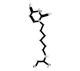 CC(C)CC(SCCCCCCn1ccc(=S)[nH]c1=S)C(C)C